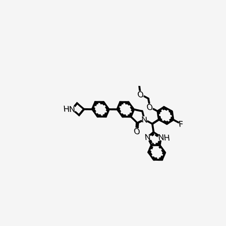 COCOc1ccc(F)cc1C(c1nc2ccccc2[nH]1)N1Cc2ccc(-c3ccc(C4CNC4)cc3)cc2C1=O